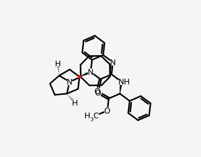 COC(=O)[C@@H](Nc1nc2ccccc2n([C@H]2C[C@H]3CC[C@@H](C2)N3C2CCCCCCC2)c1=O)c1ccccc1